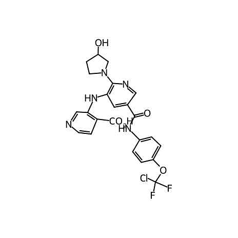 O=C(Nc1ccc(OC(F)(F)Cl)cc1)c1cnc(N2CCC(O)C2)c(Nc2cnccc2C(=O)O)c1